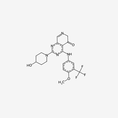 COc1ccc(Nc2nc(N3CCC(O)CC3)nc3c2C(=O)CN=C3)cc1C(F)(F)F